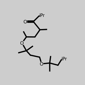 CC(C)CC(C)(C)OCCC(C)(C)OC(C)CC(C)C(=O)C(C)C